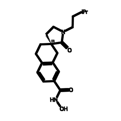 CC(C)CCN1CC[C@]2(CCc3ccc(C(=O)NO)cc3C2)C1=O